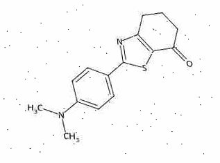 CN(C)c1ccc(-c2nc3c(s2)C(=O)CCC3)cc1